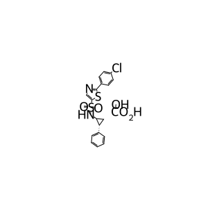 O=C(O)O.O=S(=O)(N[C@H]1C[C@@H]1c1ccccc1)c1cnc(-c2ccc(Cl)cc2)s1